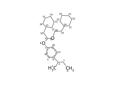 CCC(C)c1ccc(OC(CC2CCCCC2)OCCC2CCCCC2)cc1